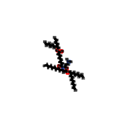 CCCCCCCCCC(CC(=O)OCC(CCCCCC)CCCCCCCC)N(CCCN(C)C)C(=O)CCCCCCC(=O)OCC(CCCC)CCCCCC